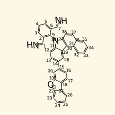 N=Cc1cccc(C=N)c1-n1c2ccc(-c3ccc4c(c3)oc3ccccc34)cc2c2c3ccccc3ccc21